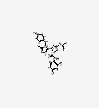 CC(=O)O[C@@H]1C[C@H](c2nnc(C)n2Cc2ccc(Cl)cc2)N(C(=O)Nc2ccc(Cl)nc2Cl)C1